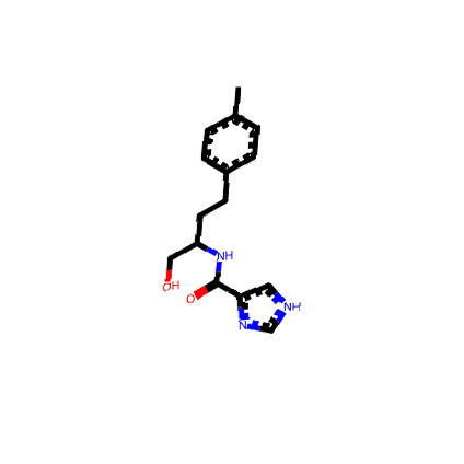 Cc1ccc(CCC(CO)NC(=O)c2c[nH]cn2)cc1